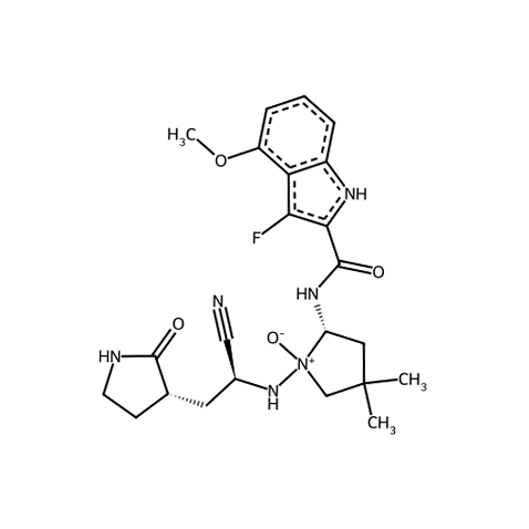 COc1cccc2[nH]c(C(=O)N[C@@H]3CC(C)(C)C[N+]3([O-])N[C@H](C#N)C[C@@H]3CCNC3=O)c(F)c12